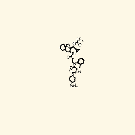 NC1CCN(C(=O)N[C@@H](Cc2ccccc2)C(=O)NCCC(=O)N[C@@H](CC2CCCCC2)[C@@H](O)[C@@H](OC(=O)C(F)(F)F)C2CC2)CC1